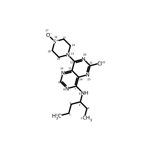 CCCC(CC)Nc1ncnc2c(N3CC[S+]([O-])CC3)nc(Cl)nc12